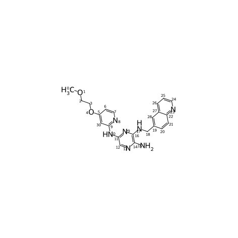 COCCOc1ccnc(Nc2cnc(N)c(NCc3ccc4ncccc4c3)n2)c1